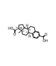 C[C@]12CC[C@@H]3c4ccc(C(=O)O)cc4CC[C@H]3[C@@H]1CC[C@@H]2C(=O)O